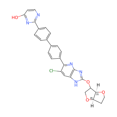 Oc1ccnc(-c2ccc(-c3ccc(-c4nc5nc(OC6CO[C@@H]7CCO[C@H]67)[nH]c5cc4Cl)cc3)cc2)n1